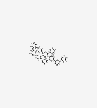 c1ccc(-c2cccc(-c3cc(-c4cccc(-c5ccccc5)c4)nc(-c4ccccc4-c4cccc(-c5ccc6c7ccccc7c7ccccc7c6c5)c4)n3)c2)cc1